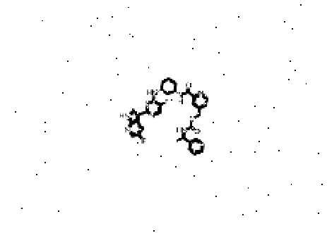 CC(NC(=O)OCc1ccnc(C(=O)N[C@H]2CCC[C@@H](Nc3nc(-c4c[nH]c5ncc(F)cc45)ncc3F)C2)c1)c1cccnc1